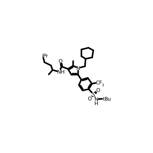 Cc1c(C(=O)NC(C)CCC(C)C)cc(-c2ccc(S(=O)(=O)NC(C)(C)C)c(C(F)(F)F)c2)n1CC1CCCCC1